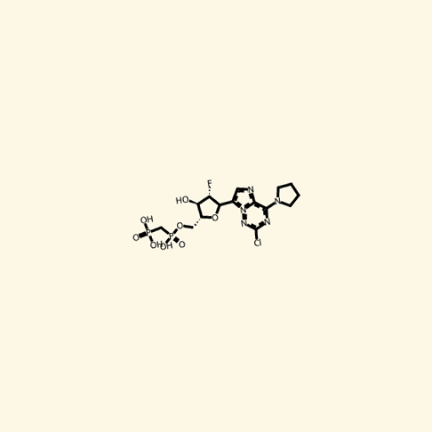 O=P(O)(O)CP(=O)(O)OC[C@H]1OC(c2cnc3c(N4CCCC4)nc(Cl)nn23)[C@@H](F)[C@@H]1O